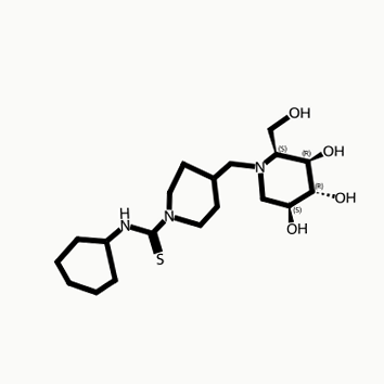 OC[C@H]1[C@@H](O)[C@H](O)[C@@H](O)CN1CC1CCN(C(=S)NC2CCCCC2)CC1